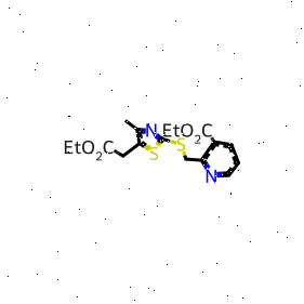 CCOC(=O)Cc1sc(SCc2ncccc2C(=O)OCC)nc1C